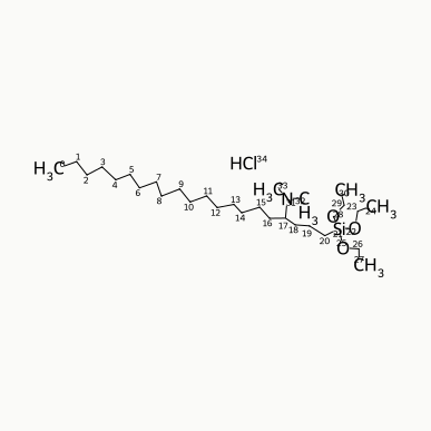 CCCCCCCCCCCCCCCCCC(CCC[Si](OCC)(OCC)OCC)N(C)C.Cl